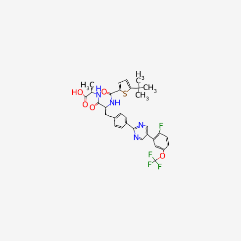 C[C@@H](NC(=O)[C@H](Cc1ccc(-c2ncc(-c3cc(OC(F)(F)F)ccc3F)cn2)cc1)NC(=O)c1ccc(C(C)(C)C)s1)C(=O)O